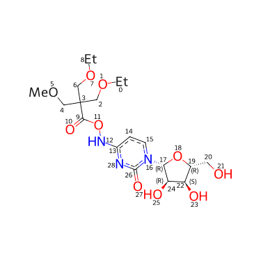 CCOCC(COC)(COCC)C(=O)ONc1ccn([C@@H]2O[C@H](CO)[C@@H](O)[C@H]2O)c(=O)n1